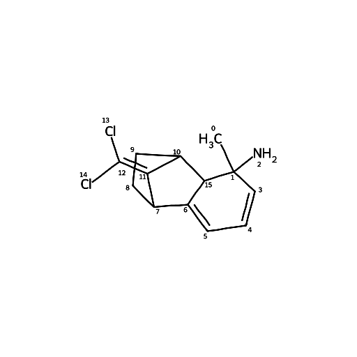 CC1(N)C=CC=C2C3CCC(C3=C(Cl)Cl)C21